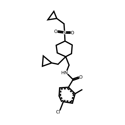 Cc1cc(Cl)ccc1C(=O)NCC1(CC2CC2)CCC(S(=O)(=O)CC2CC2)CC1